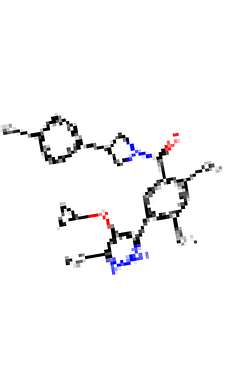 Cc1cc(C)c(-c2[nH]nc(C)c2OC2CC2)cc1C(=O)N1CC(c2ccc(C#N)cc2)C1